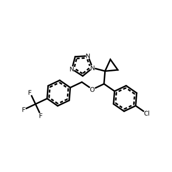 FC(F)(F)c1ccc(COC(c2ccc(Cl)cc2)C2(n3cncn3)CC2)cc1